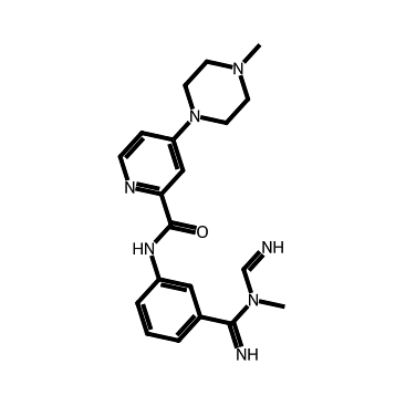 CN1CCN(c2ccnc(C(=O)Nc3cccc(C(=N)N(C)C=N)c3)c2)CC1